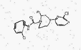 CC(C)C1CN(c2ccnc(Cl)n2)CCN1C(=O)Nc1ccccc1Cl